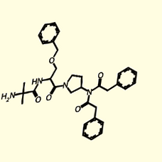 CC(C)(N)C(=O)NC(COCc1ccccc1)C(=O)N1CCC(N(C(=O)Cc2ccccc2)C(=O)Cc2ccccc2)C1